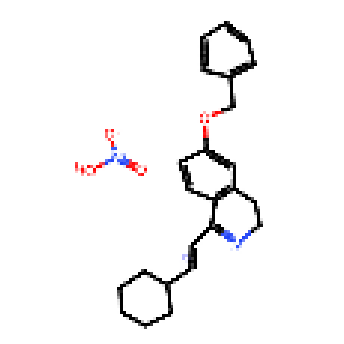 C(=C\C1CCCCC1)/C1=NCCc2cc(OCc3ccccc3)ccc21.O=[N+]([O-])O